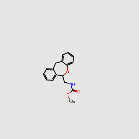 CC(C)(C)OC(=O)NCC1Oc2ccccc2Cc2ccccc21